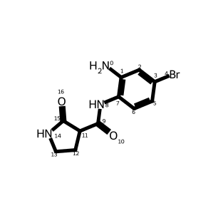 Nc1cc(Br)ccc1NC(=O)C1CCNC1=O